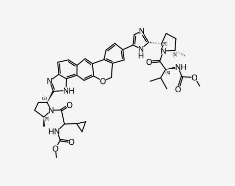 COC(=O)NC(C(=O)N1[C@@H](C)CC[C@H]1c1nc2ccc3cc4c(cc3c2[nH]1)OCc1cc(-c2cnc([C@@H]3CC[C@H](C)N3C(=O)[C@@H](NC(=O)OC)C(C)C)[nH]2)ccc1-4)C1CC1